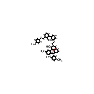 Cc1ccc(C(c2ccccc2)c2cc(C)ccc2O)c(-c2cccc(CCc3cccc(-c4cccc(CCc5ccc(O)cc5)c4O)c3)c2O)c1